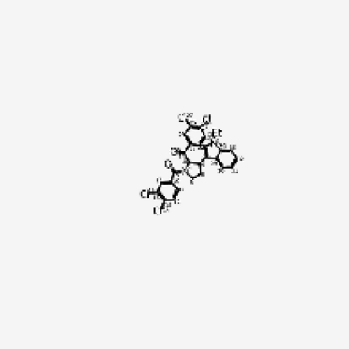 CCn1cc(C2CCN(C(=O)c3ccc(Cl)c(Cl)c3)C2C(=O)c2ccc(Cl)c(Cl)c2)c2ccccc21